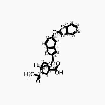 CC(=O)N1CC2(C(=O)O)C[C@H]1CN2Cc1cc2cc(Oc3nc4cnccc4s3)ccc2o1